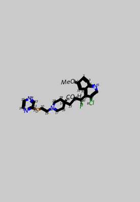 COc1ccc2ncc(Cl)c([C@@H](F)CCC3(C(=O)O)CCN(CCSc4cnccn4)CC3)c2c1